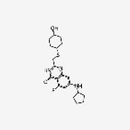 O=c1[nH]c(CS[C@H]2CC[C@H](O)CC2)nc2cc(NC3CCCC3)cc(F)c12